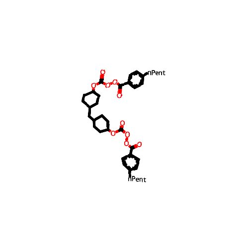 CCCCCc1ccc(C(=O)OOC(=O)OC2CCC(CC3CCC(OC(=O)OOC(=O)c4ccc(CCCCC)cc4)CC3)CC2)cc1